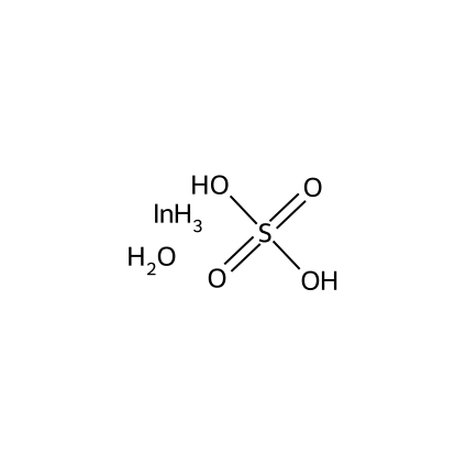 O.O=S(=O)(O)O.[InH3]